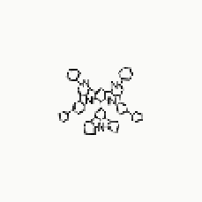 c1ccc(-c2ccc3c(c2)c2cc(-c4ccccc4)nc4c5cc6c7nc(-c8ccccc8)cc8c9cc(-c%10ccccc%10)ccc9n(c6c(-c6cc9c%10ccccc%10n%10c%11ccccc%11c(c6)c9%10)c5n3c24)c87)cc1